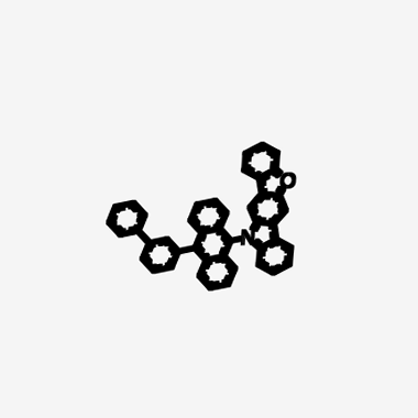 c1ccc(-c2cccc(-c3c4ccccc4c(-n4c5ccccc5c5cc6oc7ccccc7c6cc54)c4ccccc34)c2)cc1